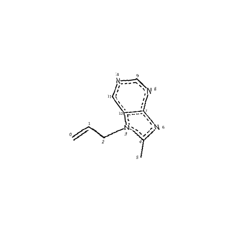 C=CCn1c(C)nc2ncncc21